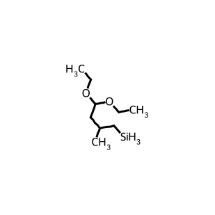 CCOC(CC(C)C[SiH3])OCC